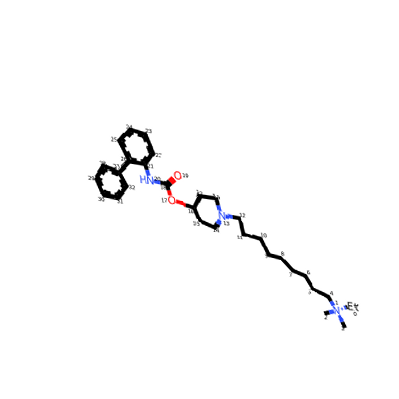 CC[N+](C)(C)CCCCCCCCCN1CCC(OC(=O)Nc2ccccc2-c2ccccc2)CC1